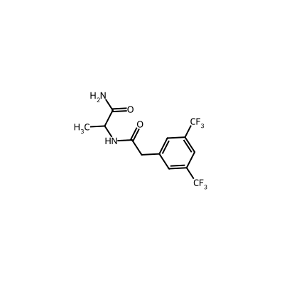 CC(NC(=O)Cc1cc(C(F)(F)F)cc(C(F)(F)F)c1)C(N)=O